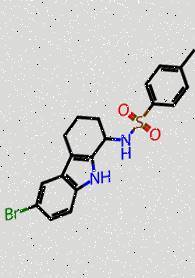 Cc1ccc(S(=O)(=O)NC2CCCc3c2[nH]c2ccc(Br)cc32)cc1